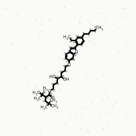 CCCCCc1ccc(-c2cc3ccc(OCCCC(O)C(O)CCCOC(=O)C(CC(C)(C)C)C(C)(C)C)cc3o2)c(CC)c1